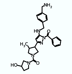 CC1CN(C(=O)N2CCC(O)C2)CC1c1cc(NCc2ccc(CN)cc2)n(C(=O)c2ccccc2)n1